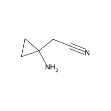 N#CCC1(N)CC1